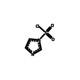 O=S(=O)(Cl)n1ccnc1